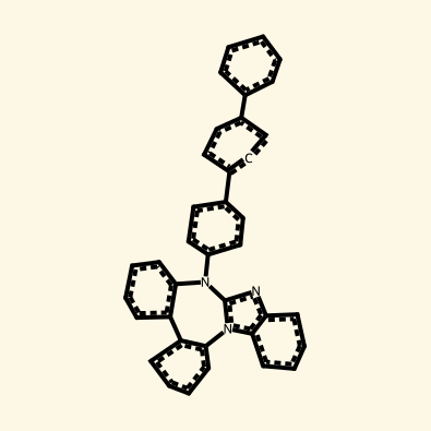 c1ccc(-c2ccc(-c3ccc(N4c5ccccc5-c5ccccc5-n5c4nc4ccccc45)cc3)cc2)cc1